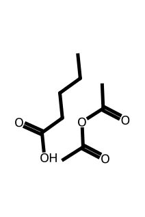 CC(=O)OC(C)=O.CCCCC(=O)O